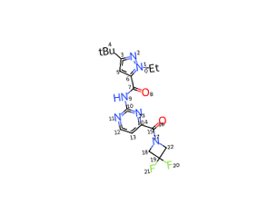 CCn1nc(C(C)(C)C)cc1C(=O)Nc1nccc(C(=O)N2CC(F)(F)C2)n1